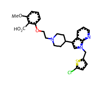 COc1cccc(OCCN2CCC(c3cn(Cc4ccc(Cl)s4)c4ncccc34)CC2)c1C(=O)O